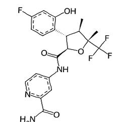 C[C@@H]1[C@@H](c2ccc(F)cc2O)[C@H](C(=O)Nc2ccnc(C(N)=O)c2)O[C@@]1(C)C(F)(F)F